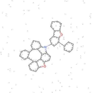 c1ccc(-c2cc(-n3c4cccc5c6ccccc6c6cccc7oc8ccc3c(c8c76)c54)cc3c2oc2ccccc23)cc1